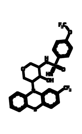 N=S(=O)(NC1COCC(N2c3ccccc3Sc3ccc(C(F)(F)F)cc32)C1O)c1ccc(OC(F)(F)F)cc1